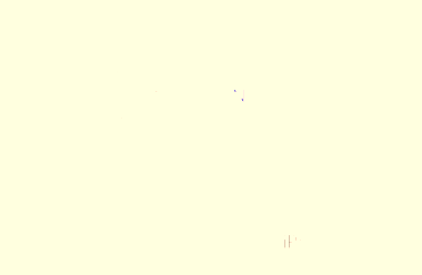 CC(C)CCN1CCCC1C1CC1